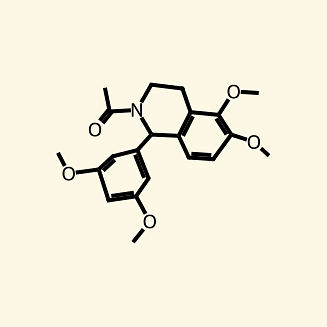 COc1cc(OC)cc(C2c3ccc(OC)c(OC)c3CCN2C(C)=O)c1